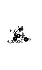 COc1ccc(C23CCC(NC(=O)Nc4cccc(Br)c4)CC2N(C(C)C)CC3)cc1OC.O=C(O)C(F)(F)F